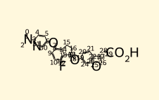 CN(C)c1ccc(Oc2ccc(F)c3c2CC[C@H]3Oc2ccc3c(c2)OC[C@H]3CC(=O)O)cn1